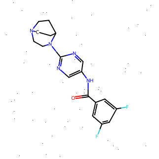 O=C(Nc1cnc(N2CCN3CCC2CC3)nc1)c1cc(F)cc(F)c1